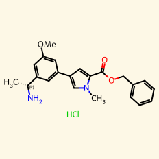 COc1cc(-c2cc(C(=O)OCc3ccccc3)n(C)c2)cc([C@@H](C)N)c1.Cl